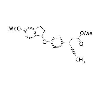 CC#CC(CC(=O)OC)c1ccc(OC2CCc3cc(OC)ccc32)cc1